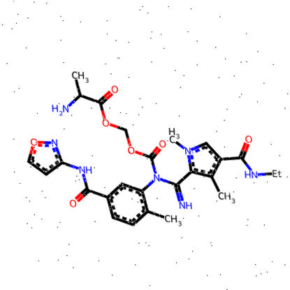 CCNC(=O)c1cn(C)c(C(=N)N(C(=O)OCOC(=O)C(C)N)c2cc(C(=O)Nc3ccon3)ccc2C)c1C